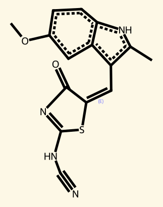 COc1ccc2[nH]c(C)c(/C=C3/SC(NC#N)=NC3=O)c2c1